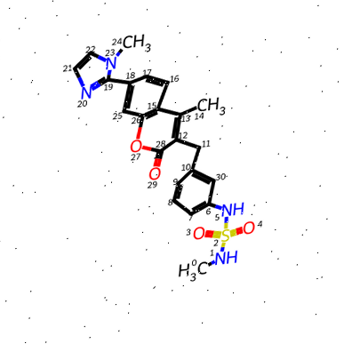 CNS(=O)(=O)Nc1cccc(Cc2c(C)c3ccc(-c4nccn4C)cc3oc2=O)c1